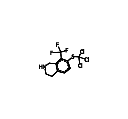 FC(F)(F)c1c(SC(Cl)(Cl)Cl)ccc2c1CNCC2